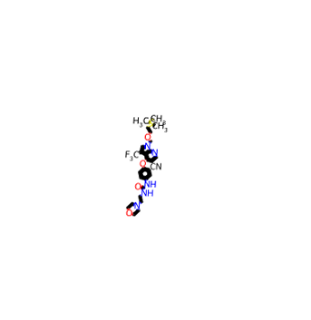 CS(C)(C)CCOCn1cc(C(F)(F)F)c2c(Oc3ccc(NC(=O)NCCN4CCOCC4)cc3C#N)ccnc21